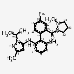 Cc1cc(Nc2nccc(N)c2-c2ccc(F)cc2C(=O)N2CCCN2C)n(C(C)C)n1